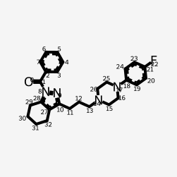 O=C(c1ccccc1)n1nc(CCCN2CCN(c3ccc(F)cc3)CC2)c2c1CCCC2